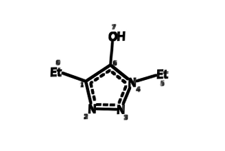 CCc1nnn(CC)c1O